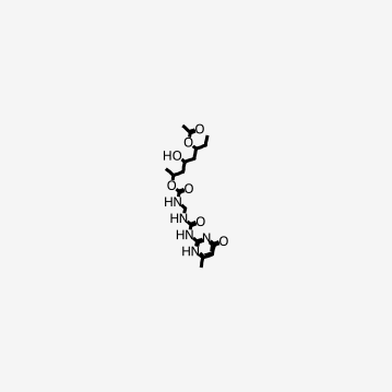 CCC(CC(O)CC(C)OC(=O)NCNC(=O)Nc1nc(=O)cc(C)[nH]1)OC(C)=O